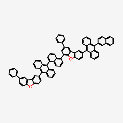 c1ccc(-c2ccc3oc4ccc(-c5c6ccccc6c(-c6cccc7c(-c8cc(-c9ccccc9)cc9c8oc8ccc(-c%10c%11ccccc%11c(-c%11ccc%12ccccc%12c%11)c%11ccccc%10%11)cc89)cccc67)c6ccccc56)cc4c3c2)cc1